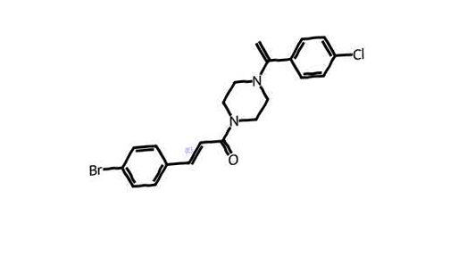 C=C(c1ccc(Cl)cc1)N1CCN(C(=O)/C=C/c2ccc(Br)cc2)CC1